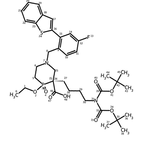 CCOP1(=O)CCN(Cc2ccc(F)cc2-c2cc3ccccc3s2)C[C@@]1(CCCCN(C(=O)OC(C)(C)C)C(=O)OC(C)(C)C)C(=O)O